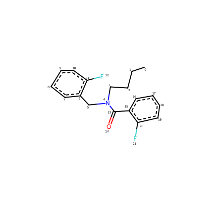 CCCCN(Cc1ccccc1F)C(=O)c1ccccc1F